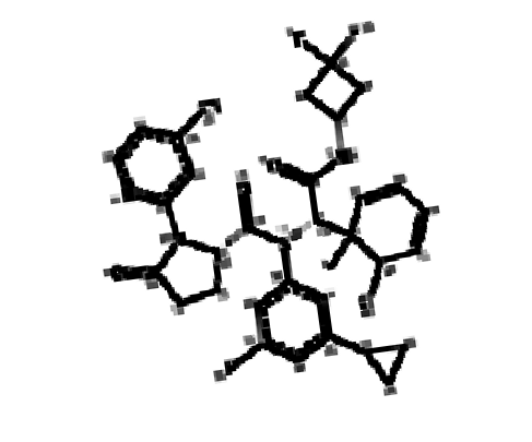 CC1([C@@H](C(=O)NC2CC(F)(F)C2)N(C(=O)[C@@H]2CCC(=O)N2c2cc(C#N)ccn2)c2cc(F)cc(C3CC3)c2)C=CC=CC1Cl